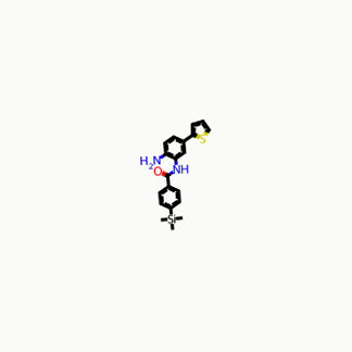 C[Si](C)(C)c1ccc(C(=O)Nc2cc(-c3cccs3)ccc2N)cc1